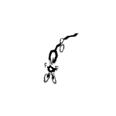 CCCCOC(=O)CC1CCN(c2c(F)cc([N+](=O)[O-])cc2F)CC1